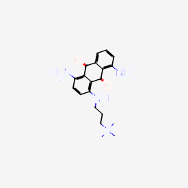 C[N+](C)(C)CCCNc1ccc(N)c2c1C(=O)c1c(N)cccc1C2=O